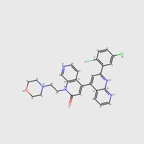 O=c1cc(-c2cc(-c3cc(Cl)ccc3F)nc3ncccc23)c2ccncc2n1CCN1CCOCC1